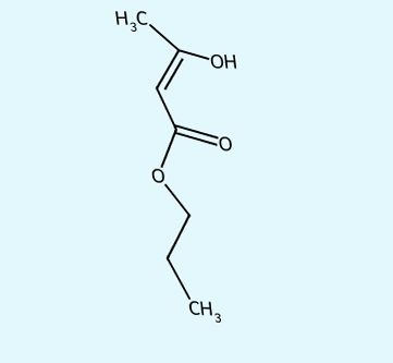 CCCOC(=O)C=C(C)O